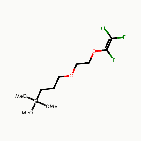 CO[Si](CCCOCCOC(F)=C(F)Cl)(OC)OC